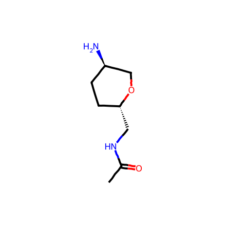 CC(=O)NC[C@@H]1CC[C@@H](N)CO1